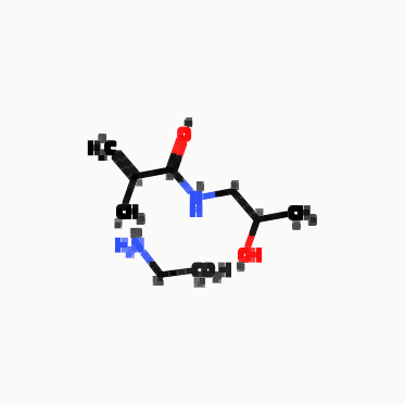 C=C(C)C(=O)NCC(C)O.NCC(=O)O